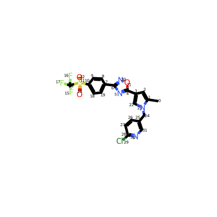 Cc1cc(-c2nc(-c3ccc(S(=O)(=O)C(F)(F)F)cc3)no2)cn1Cc1ccc(Cl)nc1